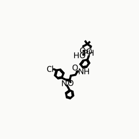 CC1(C)CO[PH](O)(Cc2ccc(NC(=O)CCc3oc(-c4ccccc4)nc3-c3ccc(Cl)cc3)cc2)OC1